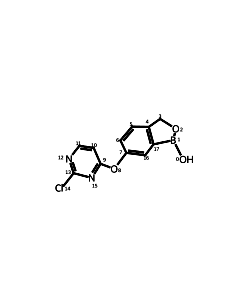 OB1OCc2ccc(Oc3ccnc(Cl)n3)cc21